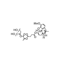 COc1ccc2c3c1O[C@@H]1C(OC(=O)CCC(=O)O[C@@H](C)C(=O)O[C@H](CC(=O)O)C(=O)O)=CC[C@]4(O)[C@H](C2)N(C)CC[C@@]314